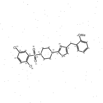 COc1ccccc1Cc1csc(N2CCN(S(=O)(=O)c3cc(Cl)ccc3Cl)CC2)n1